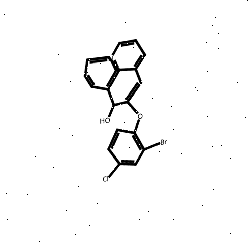 OC(/C(=C\c1cccnc1)Oc1ccc(Cl)cc1Br)c1ccccc1